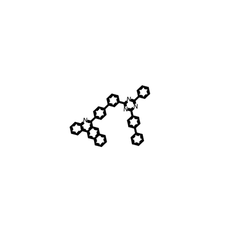 c1ccc(-c2ccc(-c3nc(-c4ccccc4)nc(-c4cccc(-c5ccc(-c6nc7ccccc7c7cc8ccccc8cc67)cc5)c4)n3)cc2)cc1